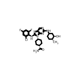 C[C@@H]1CCC(Nc2ncc3nc(Nc4c(F)cc(F)cc4Cl)n([C@H]4CC[C@@H](C(N)=O)CC4)c3n2)C[C@H]1O